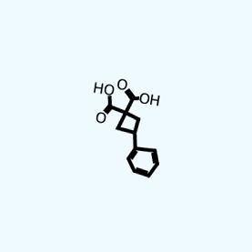 O=C(O)C1(C(=O)O)CC(c2ccccc2)C1